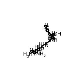 Cc1ncsc1-c1ccc(CNC(=O)[C@@H]2C[C@@H](O)CN2C(=O)[C@@H](NC(=O)CCCCC(=O)NCCC(=O)Nc2cc3cc(-c4cncc(N)c4C)c(F)c(N)c3cn2)C(C)(C)C)cc1